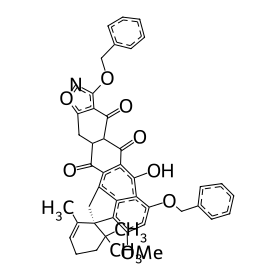 COc1cc(OCc2ccccc2)c2c(O)c3c(c4c2c1[C@]1(C4)C(C)=CCCC1(C)C)C(=O)C1Cc2onc(OCc4ccccc4)c2C(=O)C1C3=O